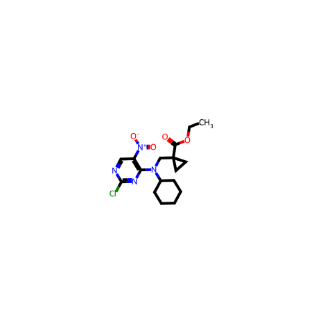 CCOC(=O)C1(CN(c2nc(Cl)ncc2[N+](=O)[O-])C2CCCCC2)CC1